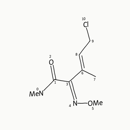 CNC(=O)C(=N/OC)/C(C)=C/CCl